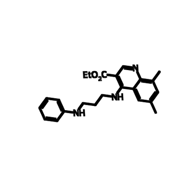 CCOC(=O)c1cnc2c(C)cc(C)cc2c1NCCCNc1ccccc1